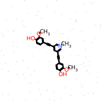 COc1cc(C#Cc2cc(C#Cc3ccc(O)c(OC)c3)c[n+](C)c2)ccc1O